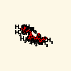 CC1(C)c2ccccc2-c2ccc(N(c3ccc(-c4cc(-c5ccc6c(c5)-c5ccc(N(c7ccc(-c8ccc(-c9ccc%10c(c9)-c9ccc(N(c%11cccc%12c%11-c%11ccccc%11C%12(C)C)c%11cccc%12c%11-c%11ccccc%11C%12(C)C)cc9C%10(C)C)cc8)cc7)c7cccc8c7-c7ccccc7C8(C)C)cc5C6(C)C)cc5c4oc4ccccc45)cc3)c3cccc4c3-c3ccccc3C4(C)C)cc21